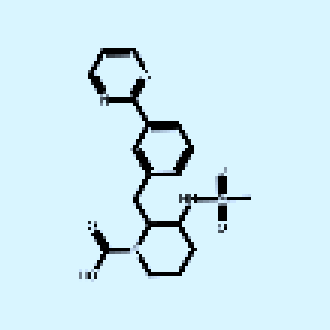 CS(=O)(=O)NC1CCCN(C(=O)O)C1Cc1cccc(-c2ncccn2)c1